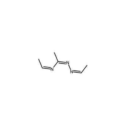 C\C=N/N=C(C)\N=C/C